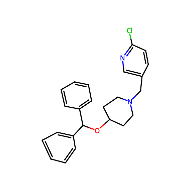 Clc1ccc(CN2CCC(OC(c3ccccc3)c3ccccc3)CC2)cn1